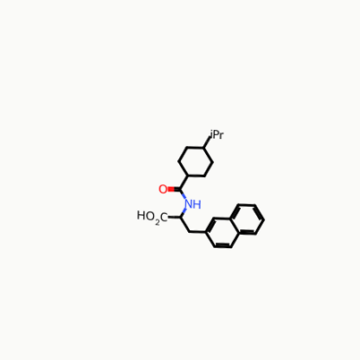 CC(C)C1CCC(C(=O)NC(Cc2ccc3ccccc3c2)C(=O)O)CC1